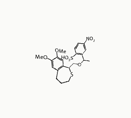 COc1cc2c(cc1OC)C(COC(C)c1cc([N+](=O)[O-])ccc1S(=O)(=O)O)SCCC2